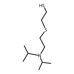 CC(C)N(CCSCCS)C(C)C